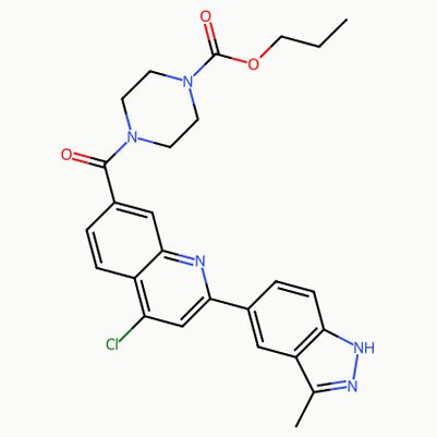 CCCOC(=O)N1CCN(C(=O)c2ccc3c(Cl)cc(-c4ccc5[nH]nc(C)c5c4)nc3c2)CC1